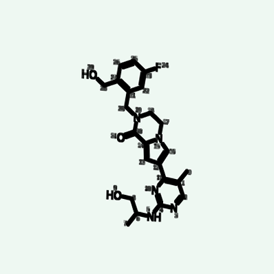 Cc1cnc(NC(C)CO)nc1-c1cc2n(c1)CCN(Cc1cc(F)ccc1CO)C2=O